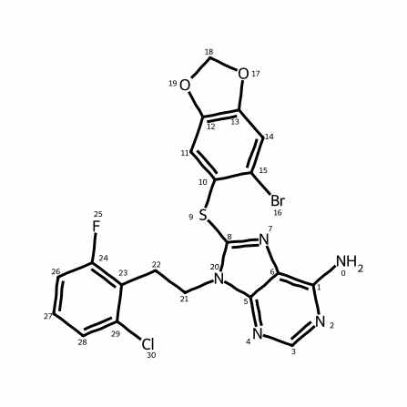 Nc1ncnc2c1nc(Sc1cc3c(cc1Br)OCO3)n2CCc1c(F)cccc1Cl